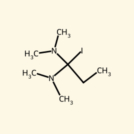 CCC(I)(N(C)C)N(C)C